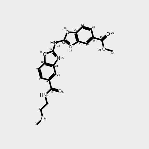 COCCNC(=O)c1ccc2oc(Nc3nc4cc(C(=O)OC)ccc4o3)nc2c1